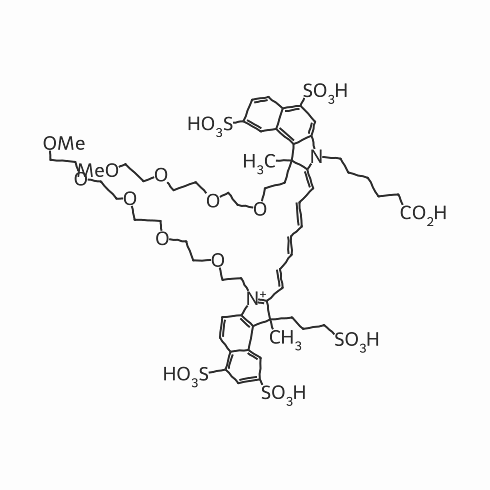 COCCOCCOCCOCCOCC[N+]1=C(/C=C/C=C/C=C/C=C2/N(CCCCCC(=O)O)c3cc(S(=O)(=O)O)c4ccc(S(=O)(=O)O)cc4c3C2(C)CCOCCOCCOCCOC)C(C)(CCCS(=O)(=O)O)c2c1ccc1c(S(=O)(=O)O)cc(S(=O)(=O)O)cc21